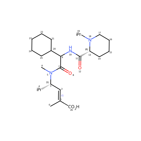 C/C(=C\[C@H](C(C)C)N(C)C(=O)C(NC(=O)[C@H]1CCCCN1C(C)C)C1CCCCC1)C(=O)O